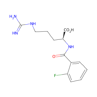 N=C(N)NCCC[C@H](NC(=O)c1ccccc1F)C(=O)O